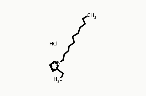 CCCCCCCCCCCn1cccc1CC.Cl